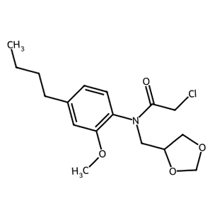 CCCCc1ccc(N(CC2COCO2)C(=O)CCl)c(OC)c1